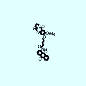 COc1cc2c(cc1OCCCCC(=O)Nc1cccc3c1C(=O)c1ccccc1C3=O)N=C[C@@H]1CCCN1C2=O